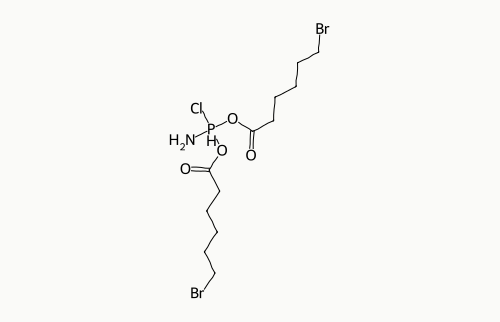 N[PH](Cl)(OC(=O)CCCCCBr)OC(=O)CCCCCBr